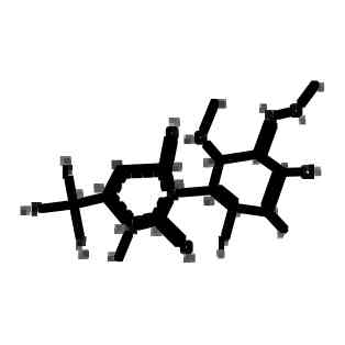 CON=C1C(Cl)=C(C)C(F)=C(n2c(=O)cc(C(F)(F)F)n(C)c2=O)C1OC